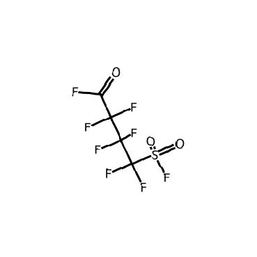 O=C(F)C(F)(F)C(F)(F)C(F)(F)S(=O)(=O)F